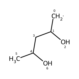 [CH2]C(O)CC(C)O